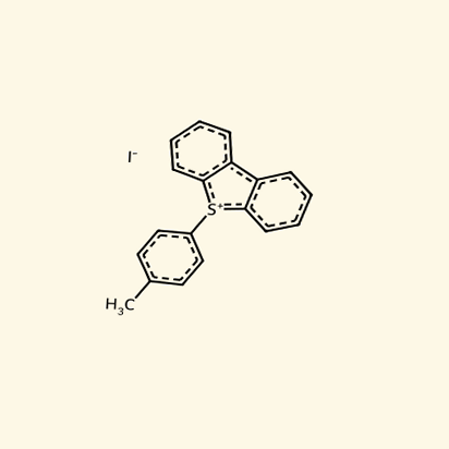 Cc1ccc(-[s+]2c3ccccc3c3ccccc32)cc1.[I-]